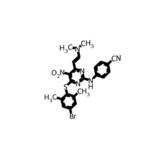 Cc1cc(Br)cc(C)c1Sc1nc(Nc2ccc(C#N)cc2)nc(/C=C/N(C)C)c1[N+](=O)[O-]